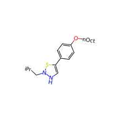 CCCCCCCCOc1ccc(C2=CNN(CC(C)C)S2)cc1